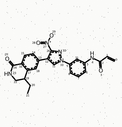 C=CC(=O)Nc1cccc(-n2cc(-c3ccc4c(c3)C(CC)CNC4=O)c([N+](=O)[O-])n2)c1